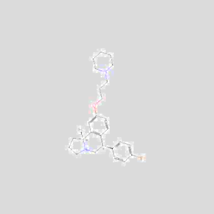 Brc1ccc([C@H]2CN3CCC[C@@H]3c3cc(OCCCN4CCCCC4)ccc32)cc1